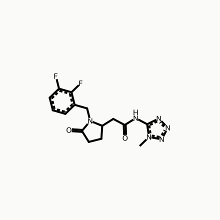 Cn1nnnc1NC(=O)CC1CCC(=O)N1Cc1cccc(F)c1F